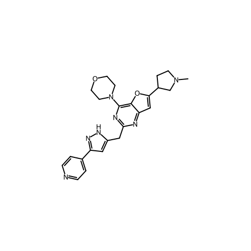 CN1CCC(c2cc3nc(Cc4cc(-c5ccncc5)n[nH]4)nc(N4CCOCC4)c3o2)C1